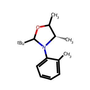 Cc1ccccc1N1C(C(C)(C)C)OC(C)[C@@H]1C